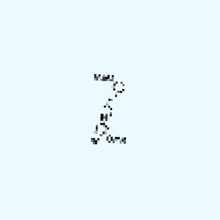 COc1cccc(CCN2CCN(c3ccc(Br)c(OC)c3)CC2)c1